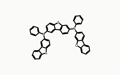 c1ccc(N(c2ccc3c(c2)oc2ccccc23)c2ccc3c(c2)sc2ccc(N(c4ccccc4)c4ccc5sc6ccccc6c5c4)cc23)cc1